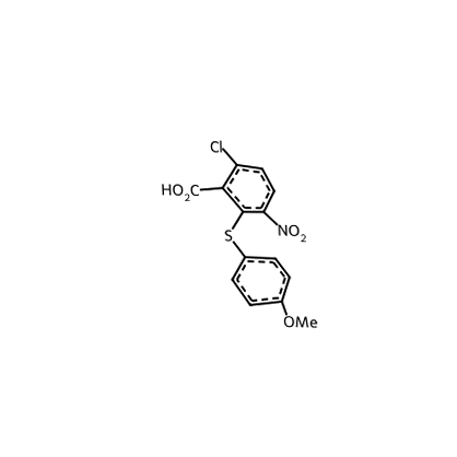 COc1ccc(Sc2c([N+](=O)[O-])ccc(Cl)c2C(=O)O)cc1